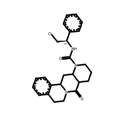 O=C1C2CCCN(C(=O)N[C@@H](CCl)c3ccccc3)C2CC2c3ccccc3CCN12